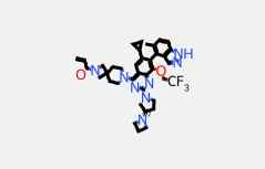 C=CC(=O)N1CC2(CCN(c3nc(N4CC[C@@H](N5CCC5)C4)nc4c(OCC(F)(F)F)c(-c5c(C)ccc6[nH]ncc56)c(C5CC5)cc34)CC2)C1